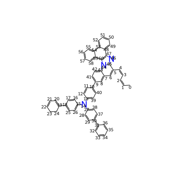 C/C=C\C=C/c1cc2cc(-c3ccc(N(c4ccc(C5=CC=CCC5)cc4)c4ccc(-c5ccccc5)cc4)cc3)ccc2n2c1nc1c3ccccc3c3ccccc3c12